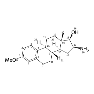 COc1ccc2c(c1)CC[C@@H]1[C@@H]2CC[C@]2(C)[C@@H](O)[C@@H](N)C[C@@H]12